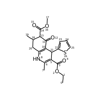 CCOC(=O)C1=C(C)NC2=C(C(=O)C(C(=O)OC)C(C)C2)C1c1cccs1